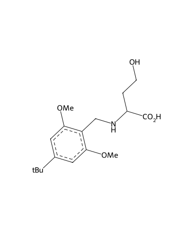 COc1cc(C(C)(C)C)cc(OC)c1CNC(CCO)C(=O)O